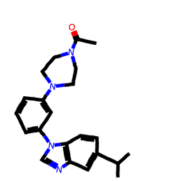 CC(=O)N1CCN(c2cccc(-n3cnc4cc(C(C)C)ccc43)c2)CC1